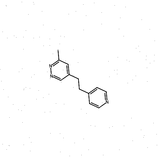 Cc1cc(CCc2ccncc2)cnn1